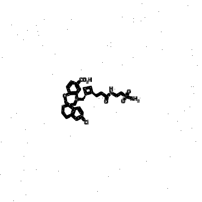 NS(=O)(=O)CCNC(=O)CC[C@@H]1CC[C@H]1CN1CC2(CCCc3cc(Cl)ccc32)COc2ccc(C(=O)O)cc21